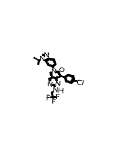 CC(C)n1cnc2ccc(-n3cc4cnc(NCC(F)(F)F)nc4c(-c4ccc(Cl)cc4)c3=O)cc21